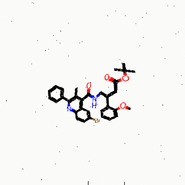 COc1ccccc1C(CNC(=O)c1c(C)c(-c2ccccc2)nc2ccc(Br)cc12)CC(=O)OC(C)(C)C